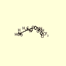 CN(CCCCCCC(=O)NO)c1cc(Oc2ccc(NC(=O)Nc3ccc(Cl)c(C(F)(F)F)c3)cc2)ccn1